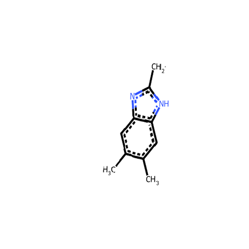 [CH2]c1nc2cc(C)c(C)cc2[nH]1